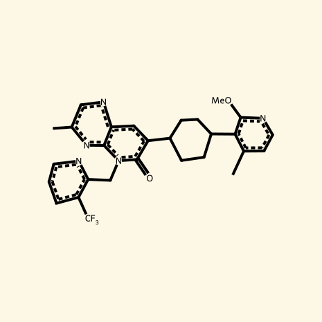 COc1nccc(C)c1C1CCC(c2cc3ncc(C)nc3n(Cc3ncccc3C(F)(F)F)c2=O)CC1